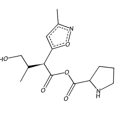 Cc1cc([C@@H](C(=O)OC(=O)C2CCCN2)C(C)CO)on1